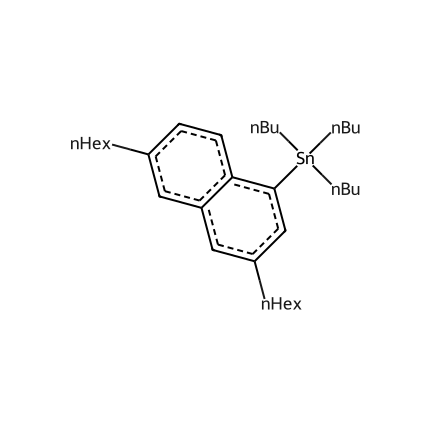 CCCCCCc1ccc2[c]([Sn]([CH2]CCC)([CH2]CCC)[CH2]CCC)cc(CCCCCC)cc2c1